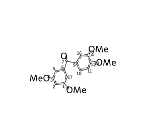 COc1cc(OC)cc(C(=O)c2ccc(OC)c(OC)c2)c1